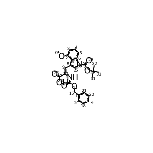 COc1cccc2c1c(/C=C(\NC(=O)OCc1ccccc1)C(=O)O)cn2C(=O)OC(C)(C)C